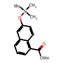 COC(=O)c1cccc2cc(O[Si](C)(C)C(C)(C)C)ccc12